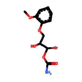 COc1ccccc1OCC(O)C(Br)OC(N)=O